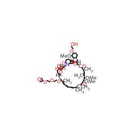 CO[C@@H]1/C(C)=C/[C@@H](C)C(=O)C[C@@H]2OC(=O)C3[C@H](CCCN3C(=O)C(=O)[C@]3(O)O[C@@H](CC[C@H]3C)CC(OCCOCCOC3COC3)/C(C)=C/C=C/C=C/[C@@H](C)C[C@@H](C)C(=O)[C@@H]1OC)C2C[C@@H]1CC[C@@H](OCCO)[C@H](OC)C1